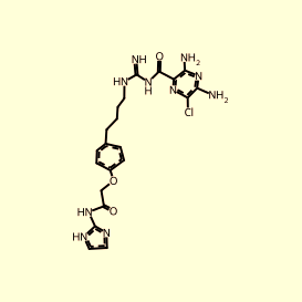 N=C(NCCCCc1ccc(OCC(=O)Nc2ncc[nH]2)cc1)NC(=O)c1nc(Cl)c(N)nc1N